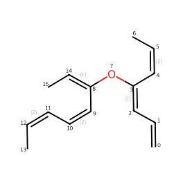 C=C/C=C(\C=C/C)OC(/C=C\C=C/C)=C/C